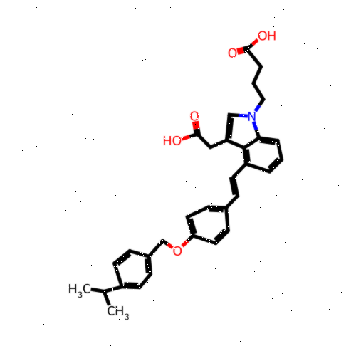 CC(C)c1ccc(COc2ccc(C=Cc3cccc4c3c(CC(=O)O)cn4CCCC(=O)O)cc2)cc1